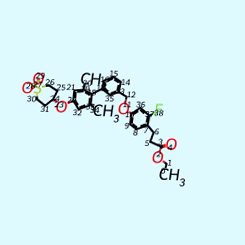 CCOC(=O)CCc1ccc(OCc2cccc(-c3c(C)cc(OC4CCS(=O)(=O)CC4)cc3C)c2)cc1F